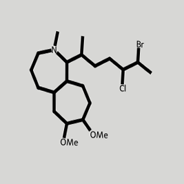 COC1CCC2C(CCCN(C)C2C(C)CCC(Cl)C(C)Br)CC1OC